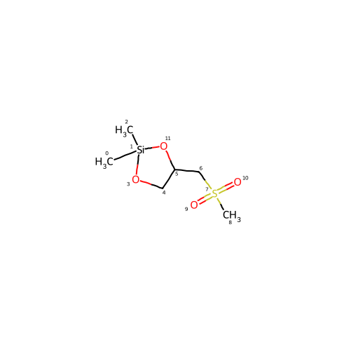 C[Si]1(C)OCC(CS(C)(=O)=O)O1